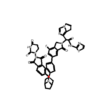 O=C1CCN(N2C(=O)c3ccc(CN4C5CCC4CN(c4ccc(-c6cc(F)c7c(c6)C(=O)N(C(C(=O)Nc6nccs6)c6ncn8c6CCC8)C7)cc4)C5)cc3C2=O)C(=O)N1